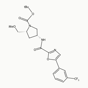 COC[C@H]1C[C@@H](NC(=O)c2ncc(-c3cccc(C(F)(F)F)c3)o2)CN1C(=O)OC(C)(C)C